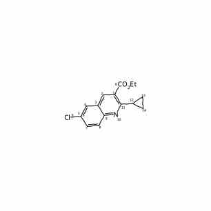 CCOC(=O)c1cc2cc(Cl)ccc2nc1C1CC1